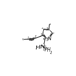 CC#Cc1cc(C)cnc1NP